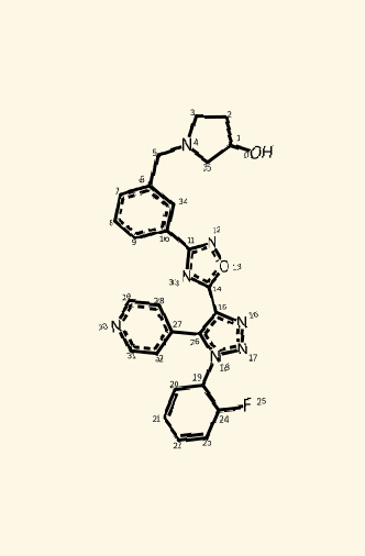 OC1CCN(Cc2cccc(-c3noc(-c4nnn(C5C=CC=CC5F)c4-c4ccncc4)n3)c2)C1